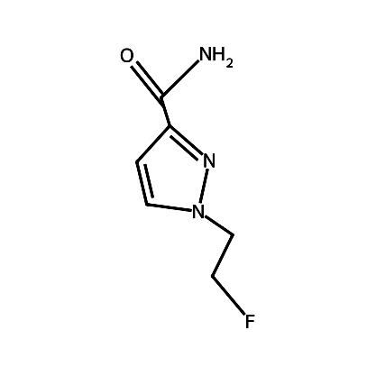 NC(=O)c1ccn(CCF)n1